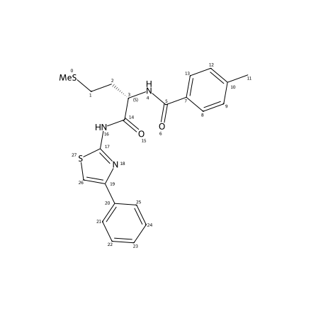 CSCC[C@H](NC(=O)c1ccc(C)cc1)C(=O)Nc1nc(-c2ccccc2)cs1